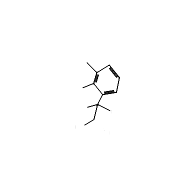 Cc1cccc(C(F)(F)[C@H](C)O)c1F